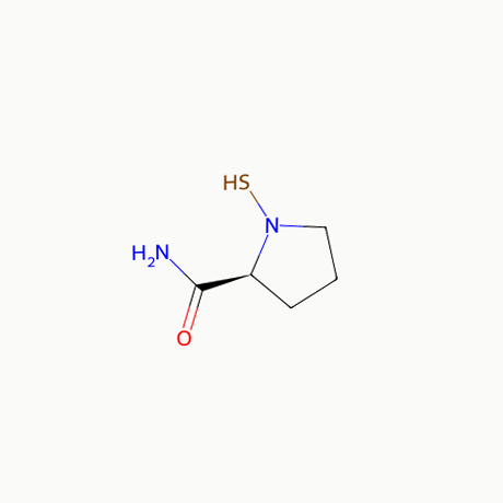 NC(=O)[C@@H]1CCCN1S